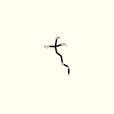 CC(C)(O)CCOSI